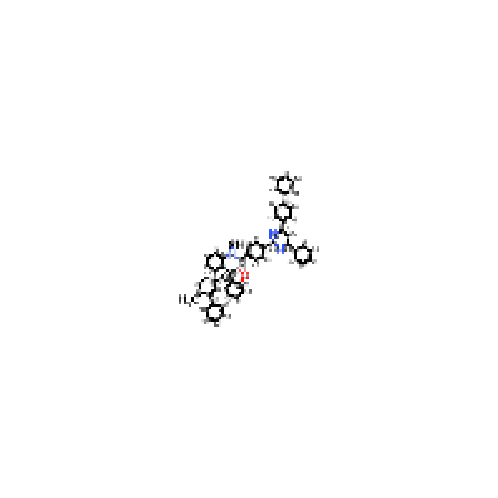 CC1CCC(C)(c2cccc3c2C2(C)c4ccccc4OC2C(c2ccc(-c4nc(-c5ccccc5)cc(-c5ccc(-c6ccccc6)cc5)n4)cc2)N3C)C=C1c1ccccc1